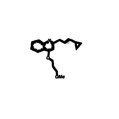 COCCCOc1cc(C/C=C/C2CC2)nc2ccccc12